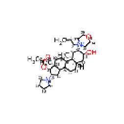 C=CC[N+]1([C@H]2C[C@]3(C)C4CC[C@@]5(C)C(C[C@H](N6CCCC6)[C@@H]5OC(C)=O)C4CC[C@H]3C[C@@H]2O)CCOCC1